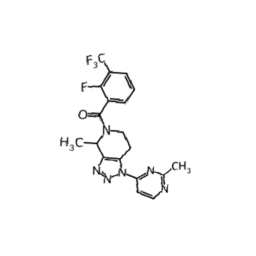 Cc1nccc(-n2nnc3c2CCN(C(=O)c2cccc(C(F)(F)F)c2F)C3C)n1